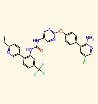 CCc1ccc(-c2ccc(C(F)(F)F)cc2NC(=O)Nc2cnc(Oc3ccc(-c4cc(Cl)cnc4N)cc3)nc2)cn1